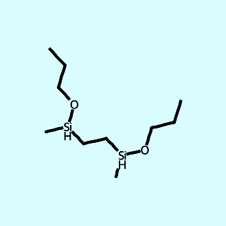 CCCO[SiH](C)CC[SiH](C)OCCC